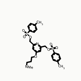 CNCCCOc1cc(COS(=O)(=O)c2ccc(C)cc2)nc(COS(=O)(=O)c2ccc(C)cc2)c1